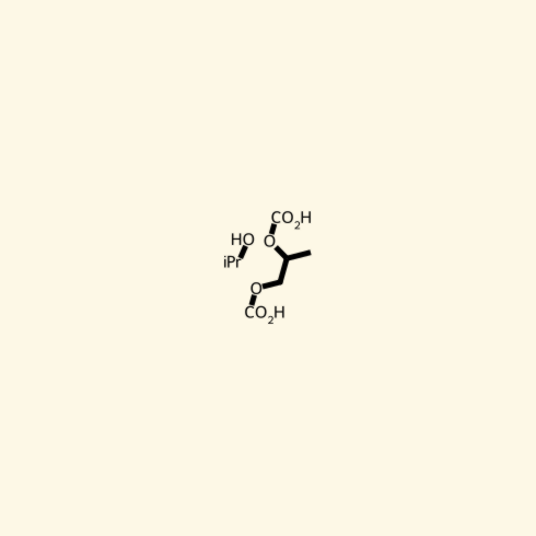 CC(C)O.CC(COC(=O)O)OC(=O)O